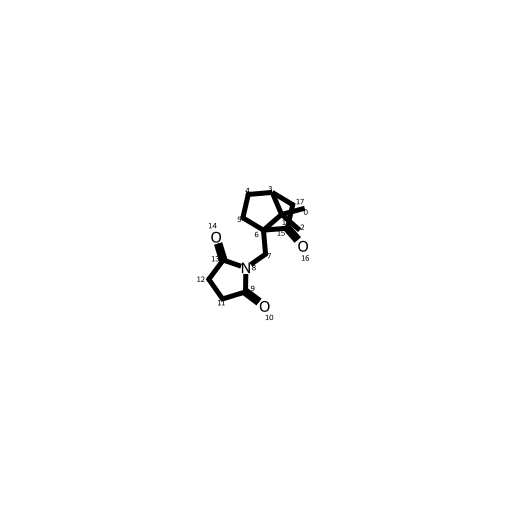 CC1(C)C2CCC1(CN1C(=O)CCC1=O)C(=O)C2